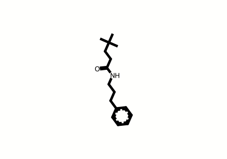 CC(C)(C)CCC(=O)NCCCc1ccccc1